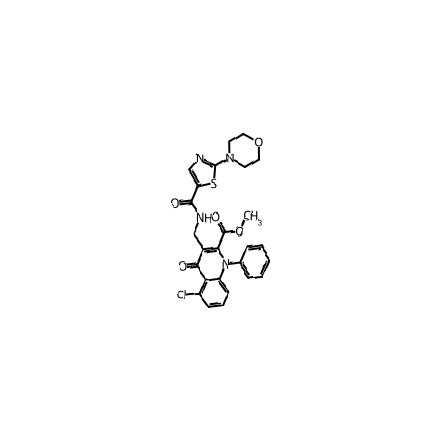 COC(=O)c1c(CNC(=O)c2cnc(N3CCOCC3)s2)c(=O)c2c(Cl)cccc2n1-c1ccccc1